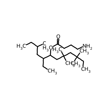 CCC(C)CC(CC)C(CC(C)(C)CC(C)(C)CC)OC(=O)CCCN